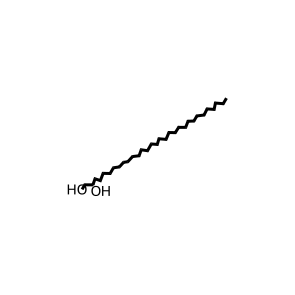 CCCCCCCCCCCCCCCCCCCCCCCCCCCCCC(O)CO